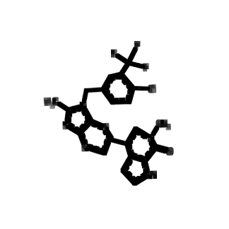 Cc1nc2ncc(-c3cn(C)c(=O)c4[nH]ccc34)nc2n1Cc1ccc(Cl)c(C(F)(F)F)c1